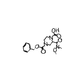 CON(C)C(=O)C1CN(C(=O)OCc2ccccc2)CCN1C(=O)O